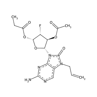 C=CCn1c(=O)n([C@@H]2O[C@H](OC(=O)CC)[C@H](F)[C@H]2OC(C)=O)c2nc(N)ncc21